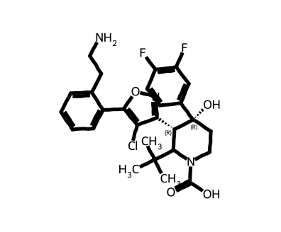 CC(C)(C)C1[C@H](c2noc(-c3ccccc3CCN)c2Cl)[C@@](O)(c2ccc(F)c(F)c2)CCN1C(=O)O